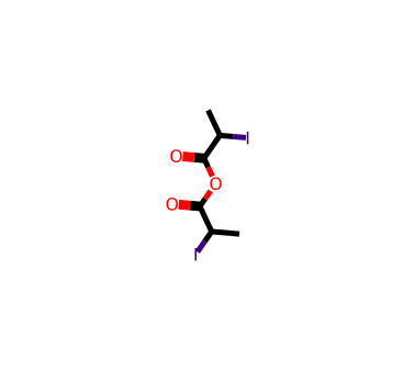 CC(I)C(=O)OC(=O)C(C)I